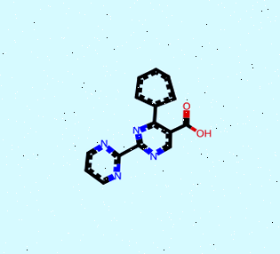 O=C(O)c1cnc(-c2ncccn2)nc1-c1ccccc1